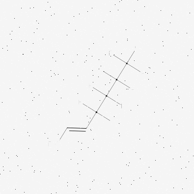 FC(F)(F)/C=C/C(F)(F)C(F)(F)C(F)(F)C(F)(F)C(F)(F)F